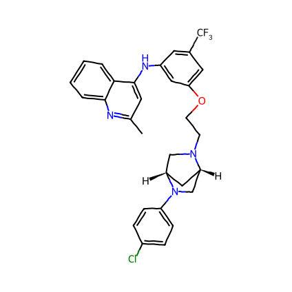 Cc1cc(Nc2cc(OCCN3C[C@@H]4C[C@H]3CN4c3ccc(Cl)cc3)cc(C(F)(F)F)c2)c2ccccc2n1